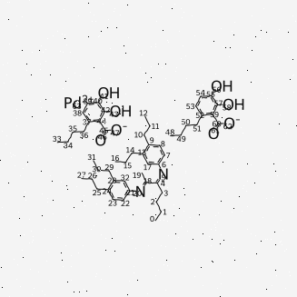 CCCCC(=Nc1ccc(CCC)c(CCC)c1)C(C)=Nc1ccc(CCC)c(CCC)c1.CCCCc1ccc(O)c(O)c1C(=O)[O-].CCCCc1ccc(O)c(O)c1C(=O)[O-].[Pd+2]